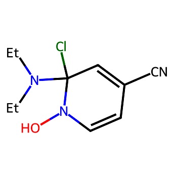 CCN(CC)C1(Cl)C=C(C#N)C=CN1O